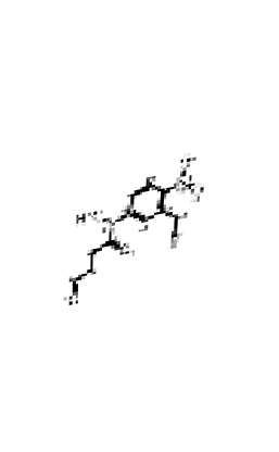 CN(C(=O)CCC=O)c1ccc([N+](=O)[O-])c(CBr)c1